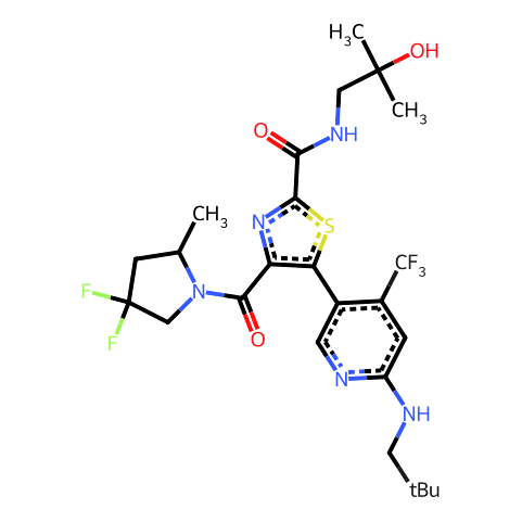 CC1CC(F)(F)CN1C(=O)c1nc(C(=O)NCC(C)(C)O)sc1-c1cnc(NCC(C)(C)C)cc1C(F)(F)F